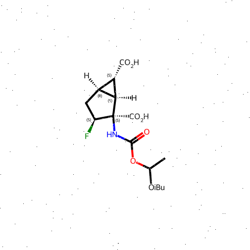 CC(C)COC(C)OC(=O)N[C@]1(C(=O)O)[C@H]2[C@@H](C[C@@H]1F)[C@@H]2C(=O)O